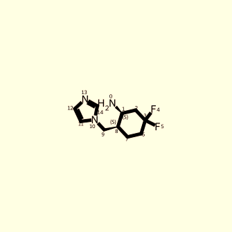 N[C@H]1CC(F)(F)CC[C@H]1Cn1ccnc1